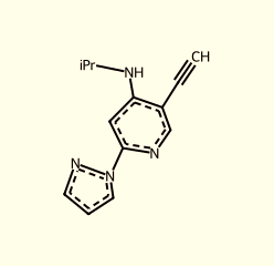 C#Cc1cnc(-n2cccn2)cc1NC(C)C